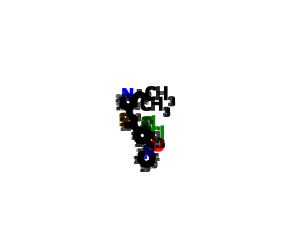 CC(C)Cc1cc(-c2cc(-c3ccc(C(=O)N4CCCCC4)c(Cl)c3Cl)cs2)ccn1